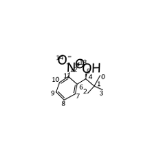 CC(C)(C)[C@H](O)c1ccccc1[N+](=O)[O-]